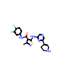 Cc1nsc(Nc2cncc(C3=CCNCC3)n2)c1C(=O)Nc1ccc(F)c(F)c1